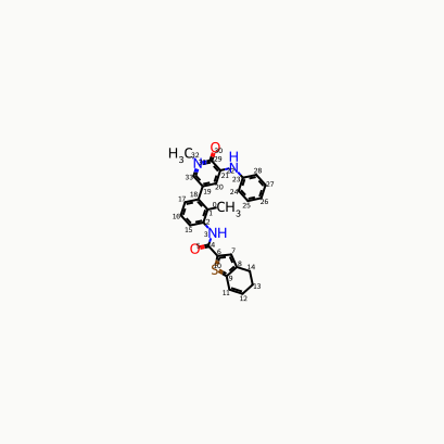 Cc1c(NC(=O)c2cc3c(s2)C=CCC3)cccc1-c1cc(Nc2ccccc2)c(=O)n(C)c1